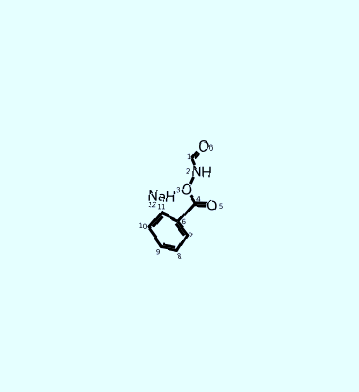 O=CNOC(=O)c1ccccc1.[NaH]